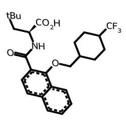 CC(C)(C)C[C@H](NC(=O)c1ccc2ccccc2c1OCC1CCC(C(F)(F)F)CC1)C(=O)O